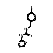 O=C(NCc1ccc(F)cc1)Nc1nccs1